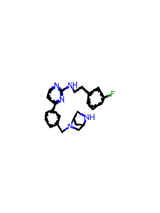 Fc1cccc(CCNc2nccc(-c3cccc(CN4CC5CC4CN5)c3)n2)c1